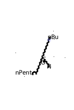 CCCC/C=C/CCCCCCCCCCC(CCCCCCCCC(C)CC(C)CCCCC)SC(=O)CCCN(C)C